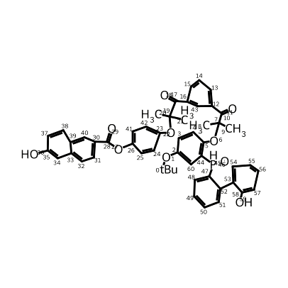 CC(C)(C)Oc1ccc(OC(C)(C)C(=O)c2cccc(C(=O)C(C)(C)Oc3ccc(OC(=O)c4ccc5cc(O)ccc5c4)cc3)c2)c([PH](=O)c2ccccc2-c2ccccc2O)c1